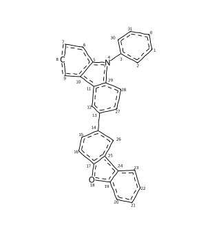 c1ccc(-n2c3ccccc3c3cc(-c4ccc5oc6ccccc6c5c4)ccc32)cc1